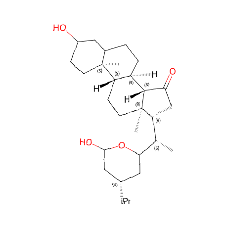 CC(C)[C@@H]1CC(O)OC([C@@H](C)[C@H]2CC(=O)[C@H]3[C@@H]4CCC5CC(O)CC[C@]5(C)[C@H]4CC[C@]23C)C1